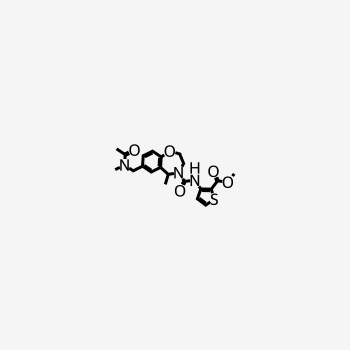 COC(=O)c1sccc1NC(=O)N1CCOc2ccc(CN(C)C(C)=O)cc2C1C